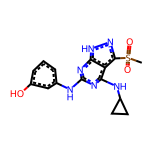 CS(=O)(=O)c1n[nH]c2nc(Nc3cccc(O)c3)nc(NC3CC3)c12